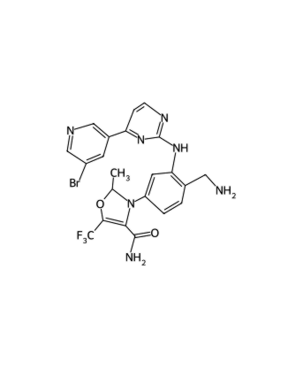 CC1OC(C(F)(F)F)=C(C(N)=O)N1c1ccc(CN)c(Nc2nccc(-c3cncc(Br)c3)n2)c1